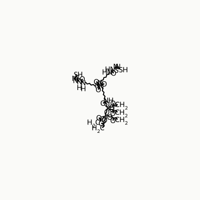 C=CC(=O)COCC(COCC(=O)C=C)(COCC(COC(=O)C=C)(COC(=O)C=C)COC(=O)NCCCCCCn1c(=O)n(CCCCCCNC(=O)Nc2nnc(S)s2)c(=O)n(CCCCCCNC(=O)Nc2nnc(S)s2)c1=O)COC(=O)C=C